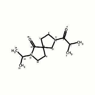 CC(C)C(=O)N1CCC2(CCN(C(C)C)C2=O)C1